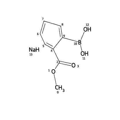 COC(=O)c1ccccc1B(O)O.[NaH]